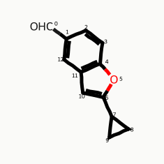 O=Cc1ccc2oc(C3CC3)cc2c1